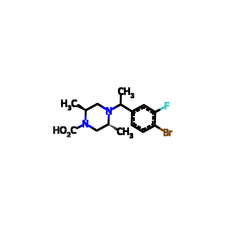 CC(c1ccc(Br)c(F)c1)N1C[C@H](C)N(C(=O)O)C[C@H]1C